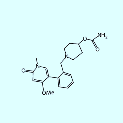 COc1cc(=O)n(C)cc1-c1ccccc1CN1CCC(OC(N)=O)CC1